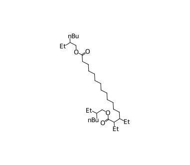 CCCCC(CC)COC(=O)CCCCCCCCCCCCC(CC)C(CC)C(=O)OCC(CC)CCCC